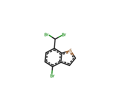 Brc1ccc(C(Br)Br)c2sccc12